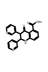 COC(=O)c1cccc2c1C(=O)C(c1cccnc1)C(c1cccnc1)N2